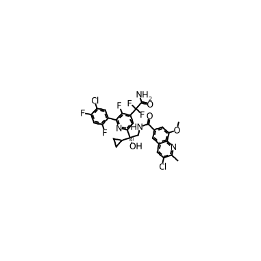 COc1cc(C(=O)NC[C@](O)(c2cc(C(F)(F)C(N)=O)c(F)c(-c3cc(Cl)c(F)cc3F)n2)C2CC2)cc2cc(Cl)c(C)nc12